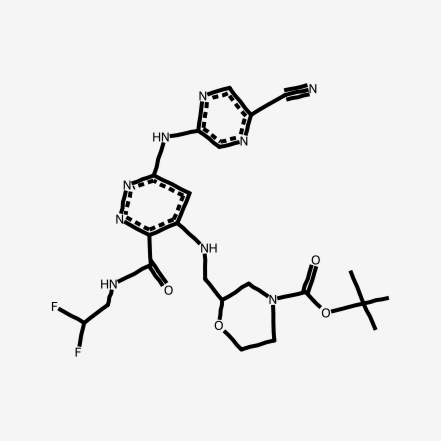 CC(C)(C)OC(=O)N1CCOC(CNc2cc(Nc3cnc(C#N)cn3)nnc2C(=O)NCC(F)F)C1